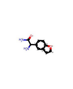 NC(=O)C(N)c1ccc2occc2c1